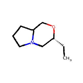 CC[C@@H]1CN2CCCC2CO1